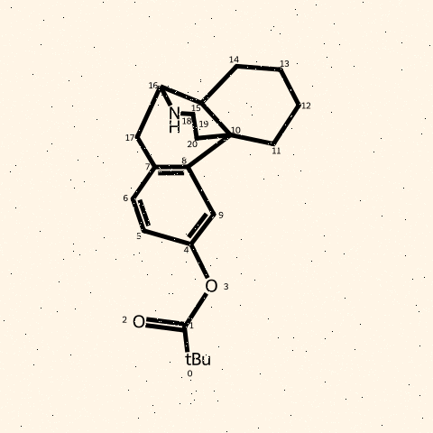 CC(C)(C)C(=O)Oc1ccc2c(c1)C13CCCCC1C(C2)NCC3